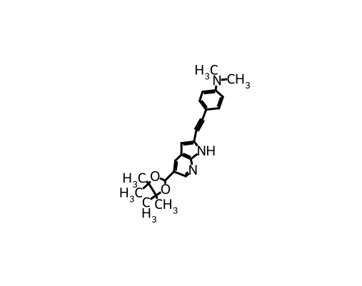 CN(C)c1ccc(C#Cc2cc3cc(C4OC(C)(C)C(C)(C)O4)cnc3[nH]2)cc1